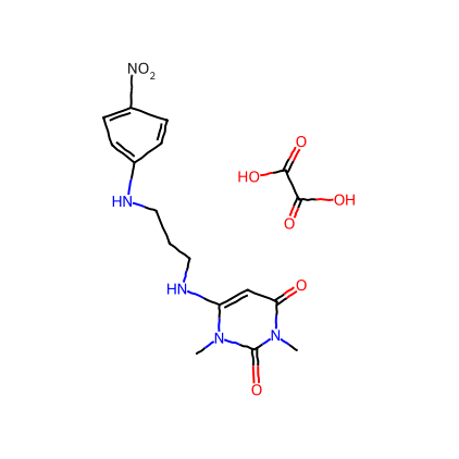 Cn1c(NCCCNc2ccc([N+](=O)[O-])cc2)cc(=O)n(C)c1=O.O=C(O)C(=O)O